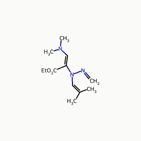 C=NN(C=C(C)C)/C(=C/N(C)C)C(=O)OCC